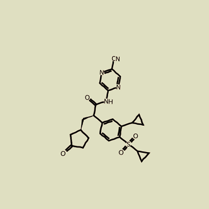 N#Cc1cnc(NC(=O)[C@H](C[C@H]2CCC(=O)C2)c2ccc(S(=O)(=O)C3CC3)c(C3CC3)c2)cn1